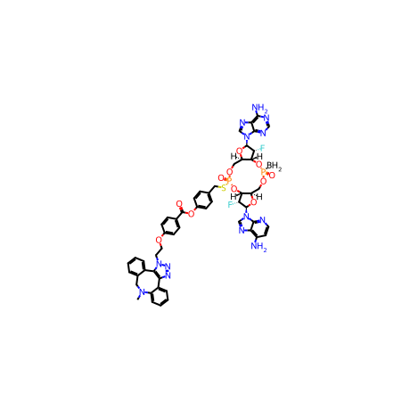 B[P@]1(=O)OC[C@H]2O[C@@H](n3cnc4c(N)ccnc43)[C@H](F)[C@@H]2O[P@](=O)(SCc2ccc(OC(=O)c3ccc(OCCn4nnc5c4-c4ccccc4CN(C)c4ccccc4-5)cc3)cc2)OC[C@H]2O[C@@H](n3cnc4c(N)ncnc43)[C@H](F)[C@@H]2O1